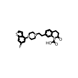 O=C(O)N1C(=O)CCc2ccc(CCN3CCN(c4cc(F)cc5sccc45)CC3)cc21